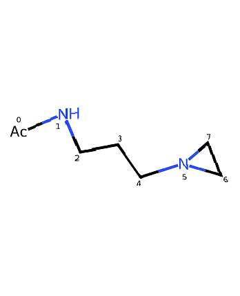 CC(=O)NCCCN1CC1